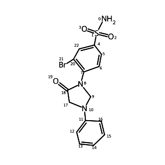 NS(=O)(=O)c1ccc(N2CN(c3ccccc3)CC2=O)c(Br)c1